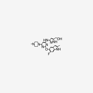 Cc1cc2cc(Oc3nc(Nc4cc(CO)[nH]n4)cc(N4CCN(C)CC4)n3)c(F)cc2[nH]1